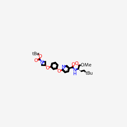 COC(=O)[C@H](CCC(C)(C)C)NC(=O)c1ccc(Oc2cccc(OC3CN(C(=O)OC(C)(C)C)C3)c2)nc1